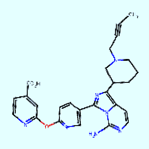 CC#CCN1CCCC(c2nc(-c3ccc(Oc4cc(C(=O)O)ccn4)nc3)n3c(N)nccc23)C1